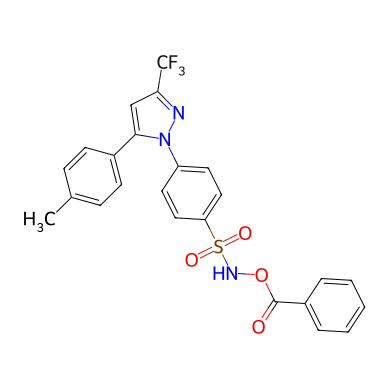 Cc1ccc(-c2cc(C(F)(F)F)nn2-c2ccc(S(=O)(=O)NOC(=O)c3ccccc3)cc2)cc1